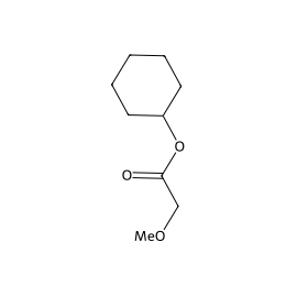 COCC(=O)OC1CCCCC1